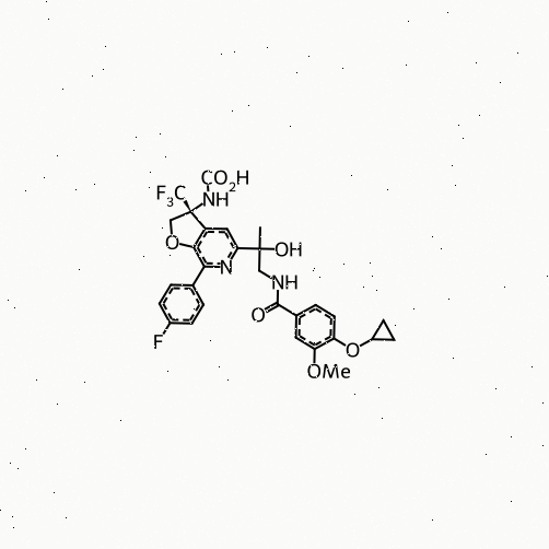 COc1cc(C(=O)NCC(C)(O)c2cc3c(c(-c4ccc(F)cc4)n2)OC[C@@]3(NC(=O)O)C(F)(F)F)ccc1OC1CC1